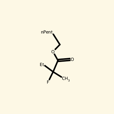 CCCCCCOC(=O)C(C)(F)CC